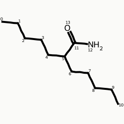 CCCCCC(CCCCC)C(N)=O